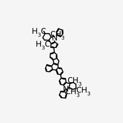 CC1CCC2(C)c3cc(-c4ccc5c(c4)Cc4c-5c5ccccc5c5cc(-c6ccc7c(c6)C6(C)CCC(C)CC6(C)N7c6ccccc6)ccc45)ccc3N(c3ccccc3)C2(C)C1